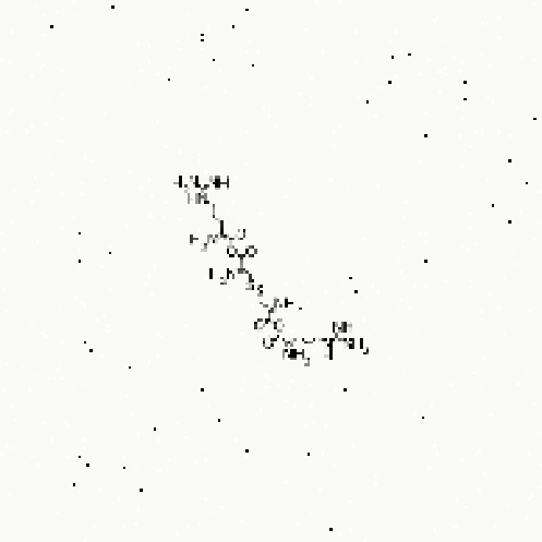 N=C(N)NCCC[C@H](N)C(=O)OC(=O)[C@@H](N)CSSC[C@H](N)C(=O)OC(=O)[C@@H](N)CCCNC(=N)N